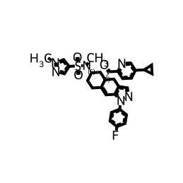 CN([C@H]1CCC2=Cc3c(cnn3-c3ccc(F)cc3)C[C@]2(C(=O)c2ccc(C3CC3)cn2)C1)S(=O)(=O)c1cnn(C)c1